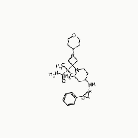 CC(C)(C(N)=O)C1(N2CCC(N[C@@H]3C[C@H]3c3ccccc3)CC2)CN(C2CCOCC2)C1